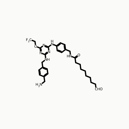 NCc1ccc(CNc2nc(Nc3ccc(CNC(=O)CCCCCCCCC=O)cc3)nc(OCC(F)(F)F)n2)cc1